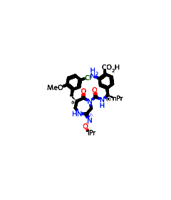 CCC[C@@H](NC(=O)N1C/C(=N/OC(C)C)NC[C@H](Cc2cc(Cl)ccc2OC)C1=O)c1ccc(C(=O)O)c(N)c1